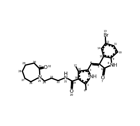 Cc1[nH]c(/C=C2\C(=O)Nc3ccc(Br)cc32)c(C)c1C(=O)NCCCN1CCCCCC1=O